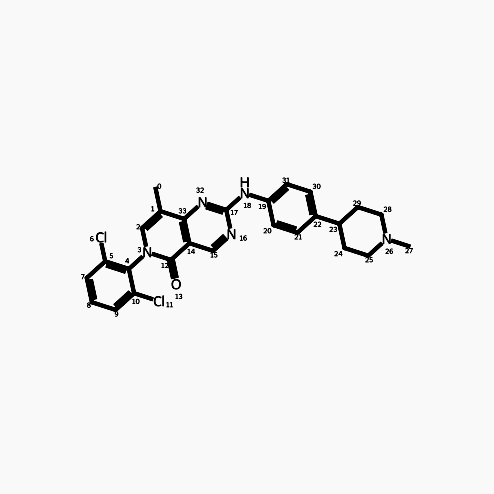 Cc1cn(-c2c(Cl)cccc2Cl)c(=O)c2cnc(Nc3ccc(C4CCN(C)CC4)cc3)nc12